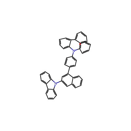 c1ccc(-c2ccccc2N(c2ccccc2)c2ccc(-c3cc(-n4c5ccccc5c5ccccc54)cc4ccccc34)cc2)cc1